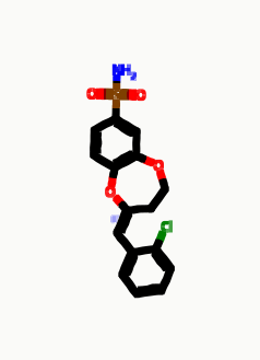 NS(=O)(=O)c1ccc2c(c1)OCC/C(=C\c1ccccc1Cl)O2